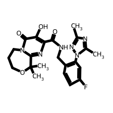 Cc1nc(C)n(-c2cc(F)ccc2CNC(=O)c2nc3n(c(=O)c2O)CCCOC3(C)C)n1